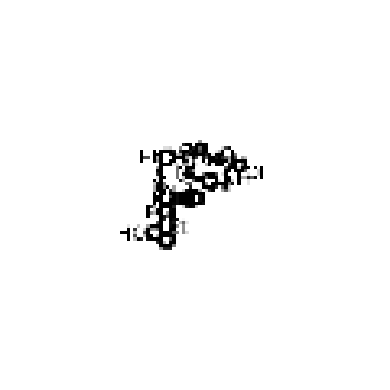 CCc1cccc2cc(O)cc(-c3ncc4c(N5CC6CCC(C5)N6)nc(OCCC5CC(C(C)ON6CC=C(C(C)(C)CC(=O)[C@@]7(C(=O)N[C@@H](C)c8ccc(-c9scnc9C)cc8)CC(O)CN7)O6)CCN5)nc4c3F)c12